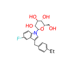 CCc1ccc(Cc2cn([C@@H]3O[C@H](CO)[C@@H](O)[C@H](O)[C@H]3O)c3ccc(F)cc23)cc1